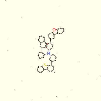 c1cc(-c2cccc3c2sc2ccccc23)cc(N(c2ccc(-c3ccc4oc5ccccc5c4c3)cc2)c2ccccc2-c2ccc3ccccc3c2)c1